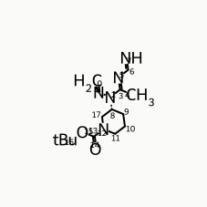 C=NN(/C(C)=N/C=N)[C@@H]1CCCN(C(=O)OC(C)(C)C)C1